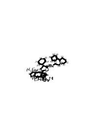 CC(C)C1=CC2CC3(C=O)[C@@H]4CC[C@@H](C)[C@H]4CC2([C@H]2C[C@@H](C4CCCCC4)[C@H](CNCCN4CCCCC4c4ccccc4)O2)[C@]13C(=O)O